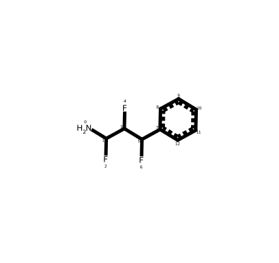 NC(F)C(F)C(F)c1ccccc1